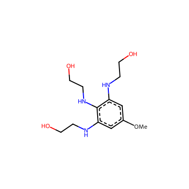 COc1cc(NCCO)c(NCCO)c(NCCO)c1